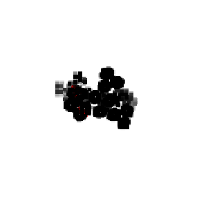 CC(C)(C)c1cc2c3c(c1)N(c1c(-c4ccccc4)cccc1-c1ccccc1)c1ccccc1B3c1cc3c(cc1O2)N(c1ccc2c4ccccc4c4ccccc4c2c1)c1cc(C(C)(C)C)cc2c1B3c1ccccc1N2c1ccc2c3ccccc3c3ccccc3c2c1